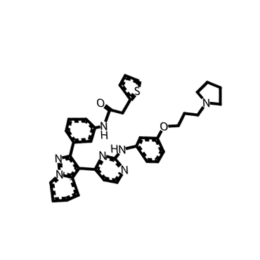 O=C(Cc1cccs1)Nc1cccc(-c2nn3ccccc3c2-c2ccnc(Nc3cccc(OCCCN4CCCC4)c3)n2)c1